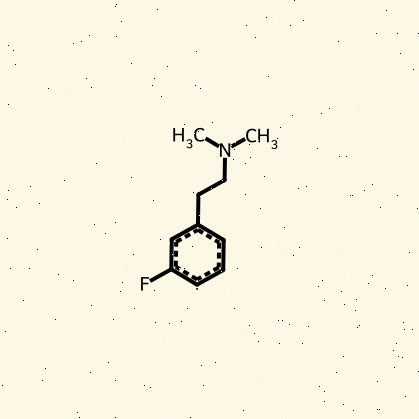 CN(C)CCc1cc[c]c(F)c1